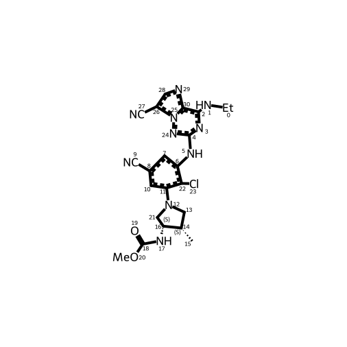 CCNc1nc(Nc2cc(C#N)cc(N3C[C@H](C)[C@H](NC(=O)OC)C3)c2Cl)nn2c(C#N)cnc12